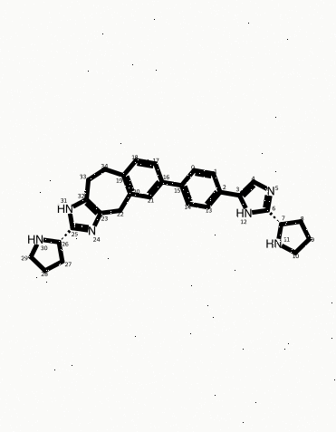 c1cc(-c2cnc([C@@H]3CCCN3)[nH]2)ccc1-c1ccc2c(c1)Cc1nc([C@@H]3CCCN3)[nH]c1CC2